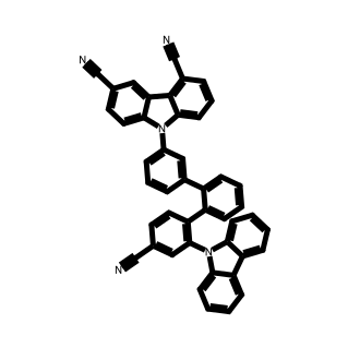 N#Cc1ccc(-c2ccccc2-c2cccc(-n3c4ccc(C#N)cc4c4c(C#N)cccc43)c2)c(-n2c3ccccc3c3ccccc32)c1